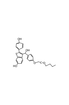 CCCCOCCOc1ccc(C(O)c2c(-c3ccc(O)cc3)sc3cc(O)ccc23)cc1